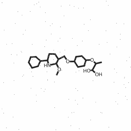 COC1NC(C2CCCCC2)CCC1COC1CCC(OC(C)C(O)O)CC1